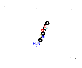 Nc1ccc(-c2nc3ccc(OC(CF)COCc4ccccc4)cc3s2)cc1